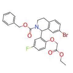 CCOC(=O)COc1ccc(F)cc1C1c2cc(Br)ccc2CCN1C(=O)OCc1ccccc1